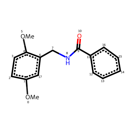 COc1ccc(OC)c(CNC(=O)c2ccccc2)c1